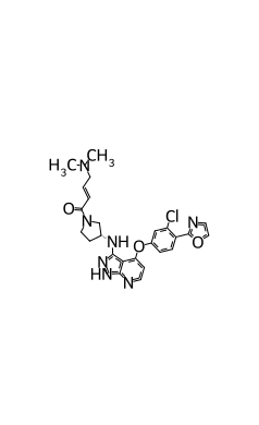 CN(C)C/C=C/C(=O)N1CC[C@@H](Nc2n[nH]c3nccc(Oc4ccc(-c5ncco5)c(Cl)c4)c23)C1